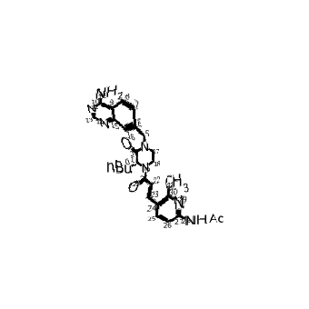 CCCC[C@H]1C(=O)N(Cc2ccc3c(N)ncnc3c2)CCN1C(=O)C=Cc1ccc(NC(C)=O)nc1C